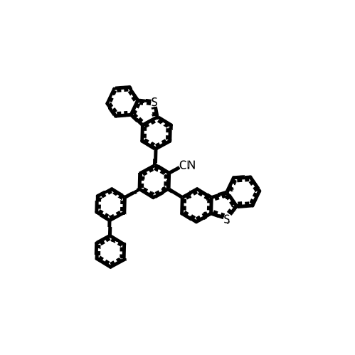 N#Cc1c(-c2ccc3sc4ccccc4c3c2)cc(-c2cccc(-c3ccccc3)c2)cc1-c1ccc2sc3ccccc3c2c1